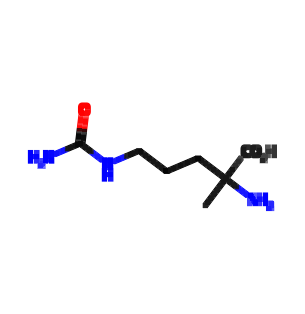 CC(N)(CCCNC(N)=O)C(=O)O